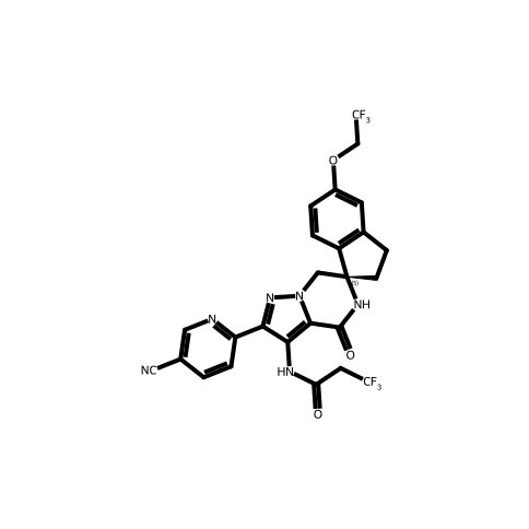 N#Cc1ccc(-c2nn3c(c2NC(=O)CC(F)(F)F)C(=O)N[C@]2(CCc4cc(OCC(F)(F)F)ccc42)C3)nc1